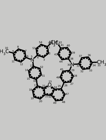 Cc1ccc(N(c2ccc(C)cc2)c2ccc(-c3cccc4c3oc3c(-c5ccc(N(c6ccc(C)cc6)c6ccc(C)cc6)cc5)cccc34)cc2)cc1